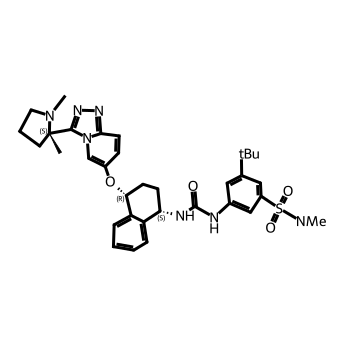 CNS(=O)(=O)c1cc(NC(=O)N[C@H]2CC[C@@H](Oc3ccc4nnc([C@]5(C)CCCN5C)n4c3)c3ccccc32)cc(C(C)(C)C)c1